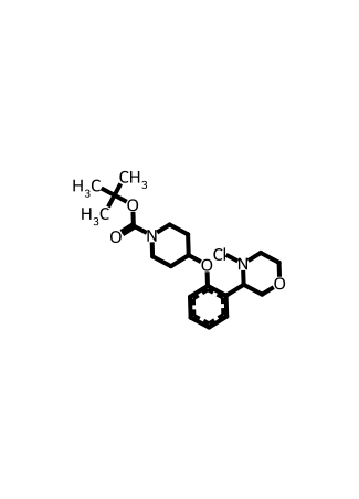 CC(C)(C)OC(=O)N1CCC(Oc2ccccc2C2COCCN2Cl)CC1